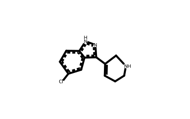 Clc1ccc2[nH]nc(C3=CCCNC3)c2c1